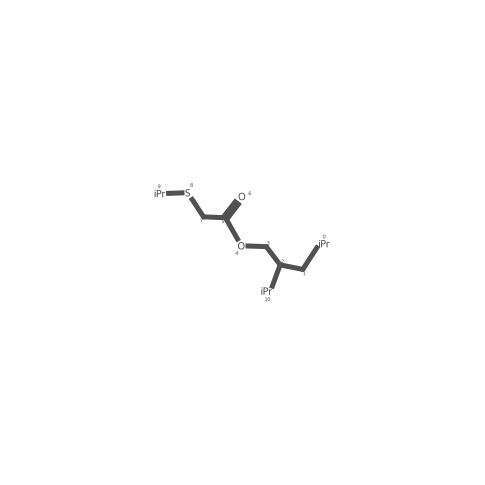 CC(C)CC(COC(=O)CSC(C)C)C(C)C